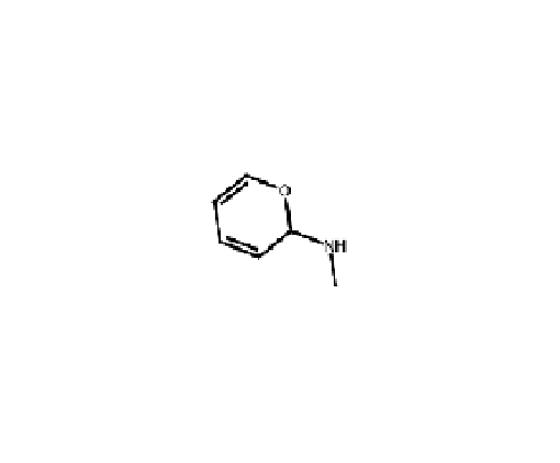 CNC1C=CC=CO1